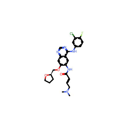 CN(C)C/C=C/C(=O)Nc1cc2c(Nc3ccc(F)c(Cl)c3)ncnc2cc1OC[C@H]1CCCO1